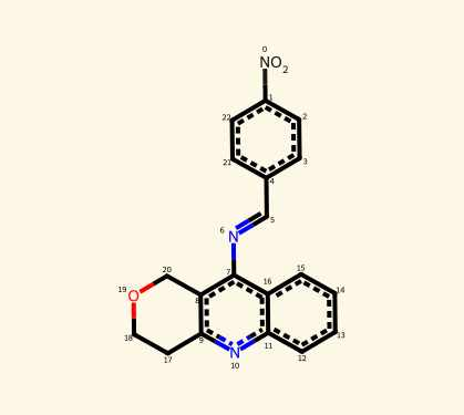 O=[N+]([O-])c1ccc(C=Nc2c3c(nc4ccccc24)CCOC3)cc1